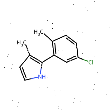 Cc1ccc(Cl)cc1-c1[nH]ccc1C